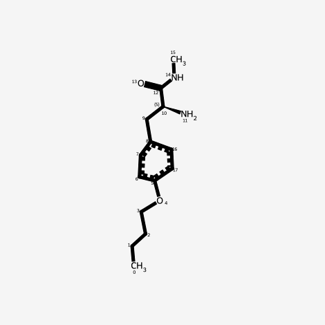 CCCCOc1ccc(C[C@H](N)C(=O)NC)cc1